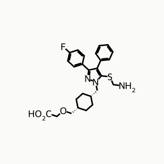 NCSc1c(-c2ccccc2)c(-c2ccc(F)cc2)nn1C[C@H]1CC[C@@H](COCC(=O)O)CC1